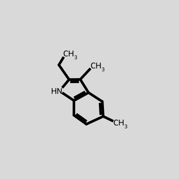 CCc1[nH]c2ccc(C)cc2c1C